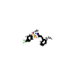 CC[C@@H](C)N(CC=Cc1ccccc1OC)S(=O)(=O)c1ccc(Cl)cc1